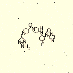 Nc1ncc(CN2CCC(C(=O)N3CCC(Nc4ccc(F)cc4N(C=O)c4cnccn4)CC3)CC2)cn1